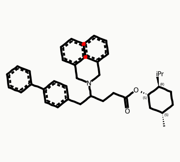 CC(C)[C@H]1CC[C@H](C)C[C@@H]1OC(=O)CCC(Cc1ccc(-c2ccccc2)cc1)N(Cc1ccccc1)Cc1ccccc1